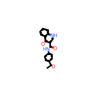 CC(=O)c1ccc(NC(=O)c2c[nH]c3ccccc3c2=O)cc1